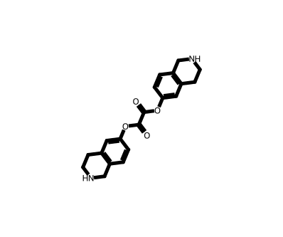 O=C(Oc1ccc2c(c1)CCNC2)C(=O)Oc1ccc2c(c1)CCNC2